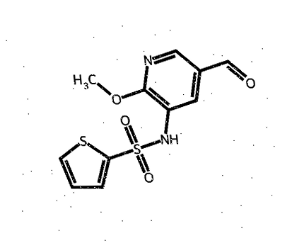 COc1ncc(C=O)cc1NS(=O)(=O)c1cccs1